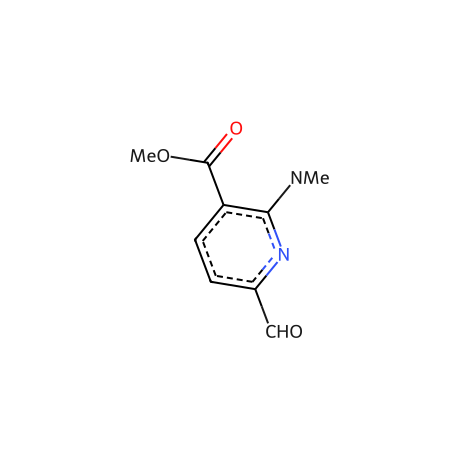 CNc1nc(C=O)ccc1C(=O)OC